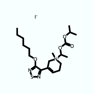 CCCCCCOc1nsnc1C1=CCC[N+](C)(C(C)OC(=O)OC(C)C)C1.[I-]